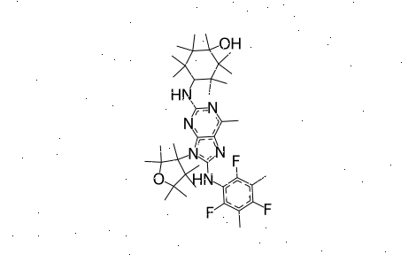 Cc1c(F)c(C)c(F)c(Nc2nc3c(C)nc(NC4C(C)(C)C(C)(C)C(C)(O)C(C)(C)C4(C)C)nc3n2C2(C)C(C)(C)OC(C)(C)C2(C)C)c1F